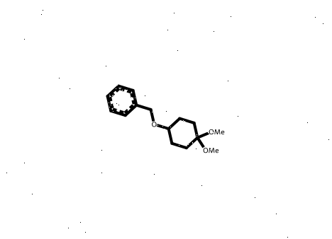 COC1(OC)CCC(OCc2ccccc2)CC1